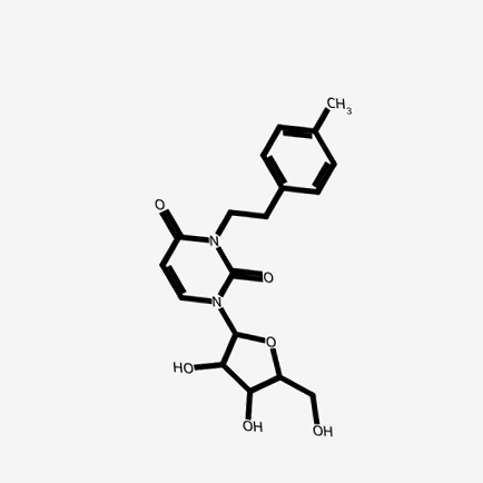 Cc1ccc(CCn2c(=O)ccn(C3OC(CO)C(O)C3O)c2=O)cc1